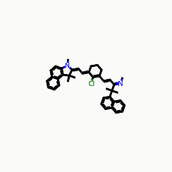 C/N=C(\C=C\C1=C(Cl)C(=C/C=C2/N(C)c3ccc4ccccc4c3C2(C)C)/CCC1)C(C)(C)c1cccc2ccccc12